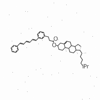 CC(C)CCC[C@@H](C)[C@H]1CCC2C3CC=C4CC(OC(=O)CCc5cccc(C=CC=CC=Cc6ccccc6)c5)CC[C@]4(C)C3CC[C@@]21C